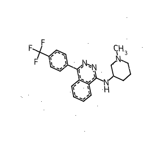 CN1CCCC(Nc2nnc(-c3ccc(C(F)(F)F)cc3)c3ccccc23)C1